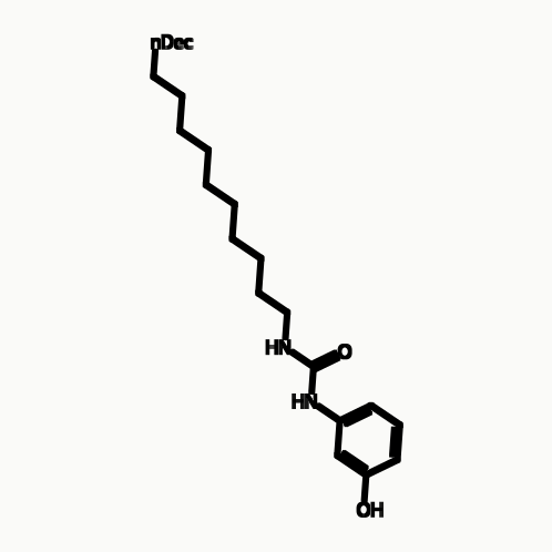 CCCCCCCCCCCCCCCCCCCCNC(=O)Nc1cccc(O)c1